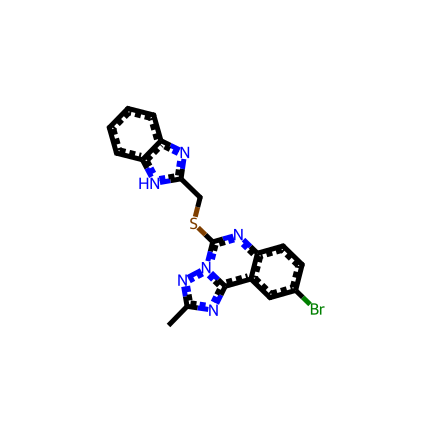 Cc1nc2c3cc(Br)ccc3nc(SCc3nc4ccccc4[nH]3)n2n1